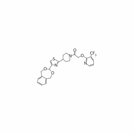 O=C(COc1ncccc1C(F)(F)F)N1CCC(c2nc(C3OCc4ccccc4CO3)cs2)CC1